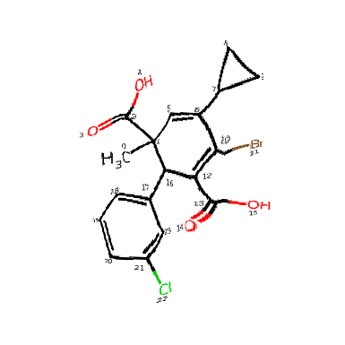 CC1(C(=O)O)C=C(C2CC2)C(Br)=C(C(=O)O)C1c1cccc(Cl)c1